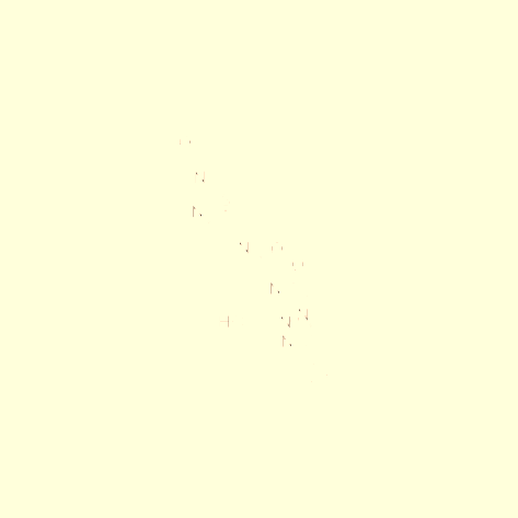 CC(C)(C)[C@@H](C(=O)N1CC(O)CC1C(=O)NCc1cnc(N2CCOCC2)s1)n1cc(C2CC2)nn1